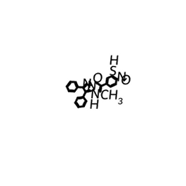 Cc1[nH]c2c(-c3ccccc3)c(-c3ccccc3)nn2c(=O)c1-c1ccc(N=O)c(S)c1